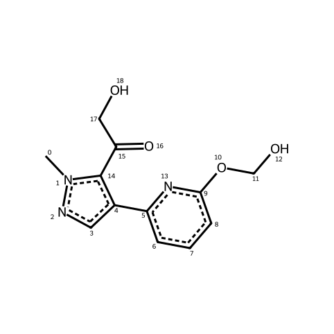 Cn1ncc(-c2cccc(OCO)n2)c1C(=O)CO